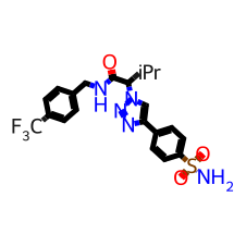 CC(C)C(C(=O)NCc1ccc(C(F)(F)F)cc1)n1cc(-c2ccc(S(N)(=O)=O)cc2)nn1